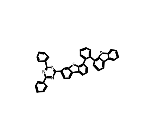 c1ccc(-c2nc(-c3ccccc3)nc(-c3ccc4c(c3)sc3c(-c5ccccc5-c5cccc6c5sc5ccccc56)cccc34)n2)cc1